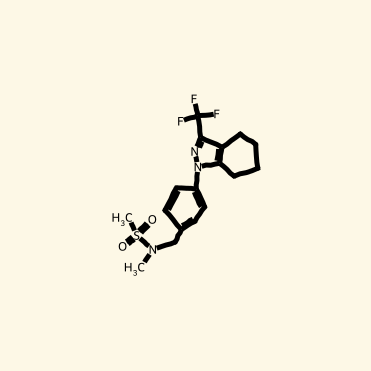 CN(Cc1ccc(-n2nc(C(F)(F)F)c3c2CCCC3)cc1)S(C)(=O)=O